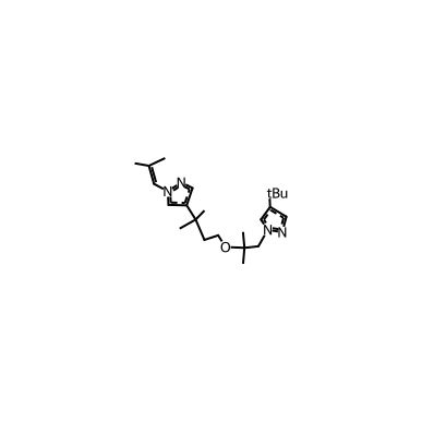 CC(C)=Cn1cc(C(C)(C)CCOC(C)(C)Cn2cc(C(C)(C)C)cn2)cn1